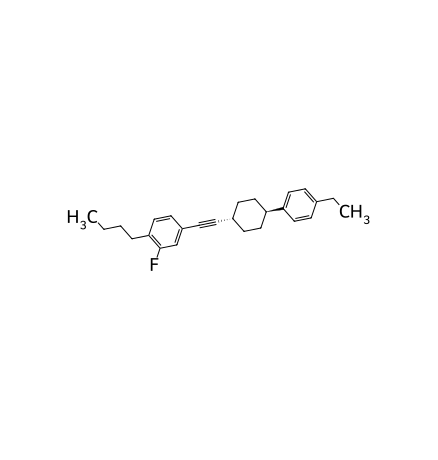 CCCCc1ccc(C#C[C@H]2CC[C@H](c3ccc(CC)cc3)CC2)cc1F